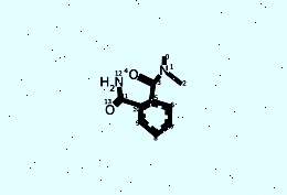 CN(C)C(=O)c1ccccc1C(N)=O